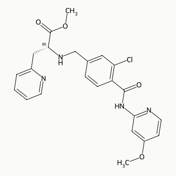 COC(=O)[C@@H](Cc1ccccn1)NCc1ccc(C(=O)Nc2cc(OC)ccn2)c(Cl)c1